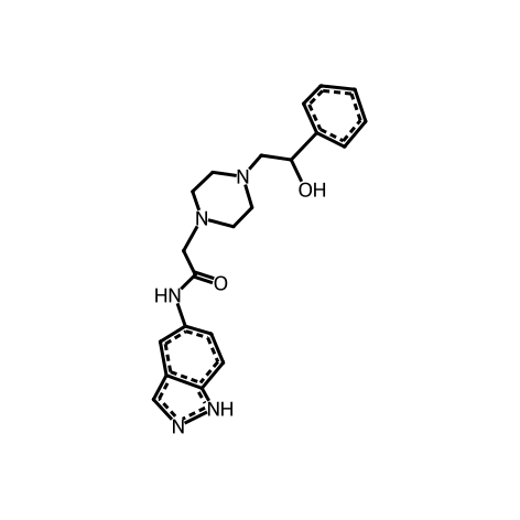 O=C(CN1CCN(CC(O)c2ccccc2)CC1)Nc1ccc2[nH]ncc2c1